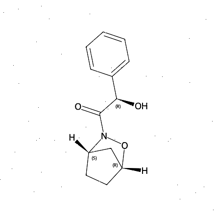 O=C([C@H](O)c1ccccc1)N1O[C@@H]2CC[C@H]1C2